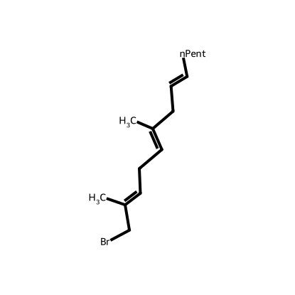 CCCCC/C=C/C/C(C)=C/C/C=C(\C)CBr